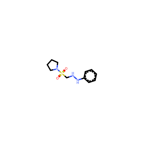 O=S(=O)(CNNc1ccccc1)N1CCCC1